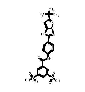 CC(C)(C)c1cc2[nH]c(-c3ccc(NC(=O)c4cc(S(=O)(=O)O)cc(S(=O)(=O)O)c4)cc3)nn2n1